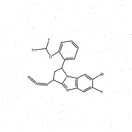 [N-]=[N+]=NC1CC(c2ccccc2OC(F)F)n2c1nc1cc(F)c(Br)cc12